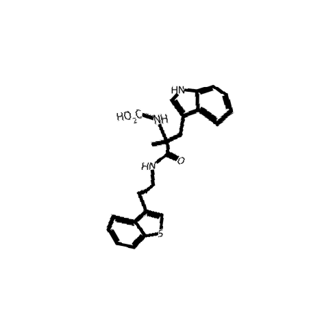 CC(Cc1c[nH]c2ccccc12)(NC(=O)O)C(=O)NCCc1csc2ccccc12